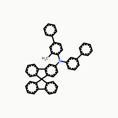 Cc1cc(-c2ccccc2)ccc1N(c1cccc(-c2ccccc2)c1)c1ccc2c(c1)-c1ccccc1C21c2ccccc2-c2ccccc21